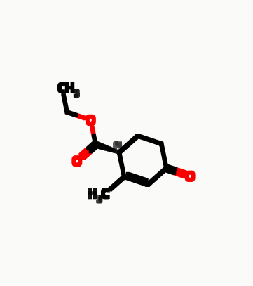 CCOC(=O)[C@H]1CCC(=O)C=C1C